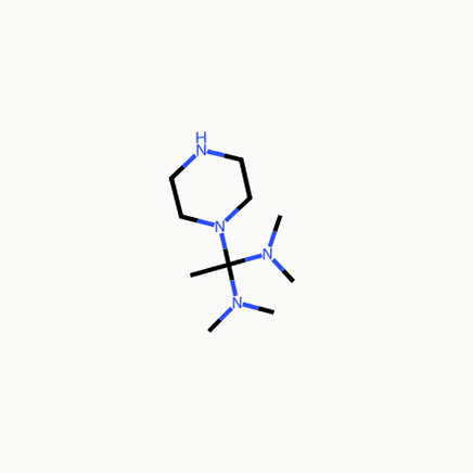 CN(C)C(C)(N(C)C)N1CCNCC1